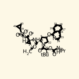 C=C[C@@H]1C[C@]1(NC(=O)[C@@H]1C[C@@H](Oc2nccc3ccccc23)CN1C(=O)[C@@H](OC(=O)NC(C)C)C(C)(C)C)C(=O)NS(=O)(=O)C1CC1